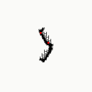 CCCCC(CC)CNCCCNCCCNCc1ccc(-c2cccc(-c3ccc(CNCCCNCCCNCC(CC)CCCC)cc3)c2)cc1